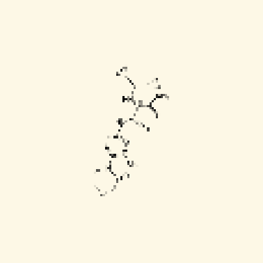 NC(=O)[C@H](NC(C1CC1)C1CC1)C(=O)Nc1ccc(N2CCOCC2=O)c(C(F)(F)F)c1